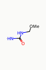 COCNC([NH])=O